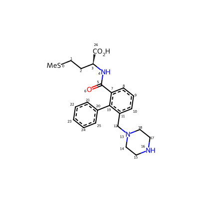 CSCC[C@H](NC(=O)c1cccc(CN2CCNCC2)c1-c1ccccc1)C(=O)O